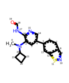 CN(c1cc(-c2ccc3cnsc3c2)cnc1NC=O)C1CCC1